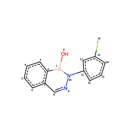 OB1c2ccccc2C=NN1c1cccc(F)c1